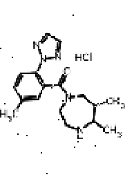 Cc1ccc(-n2nccn2)c(C(=O)N2CCNC(C)C(C)C2)c1.Cl